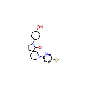 O=C1N(C2CCC(O)CC2)CC[C@@]12CCCN(c1ccc(Br)cn1)C2